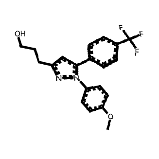 COc1ccc(-n2nc(CCCO)cc2-c2ccc(C(F)(F)F)cc2)cc1